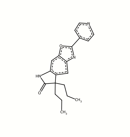 CCCC1(CCC)C(=O)Nc2cc3oc(-c4ccncc4)nc3cc21